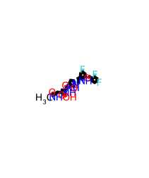 CNC(=O)C=CCCC(NC(=O)O)C(=O)Nc1cccn(Cc2cc3cc(F)cc(OCc4ccc(F)cc4F)c3[nH]2)c1=O